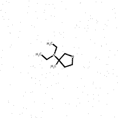 CCN(CC)C1(C)CC[N]C1